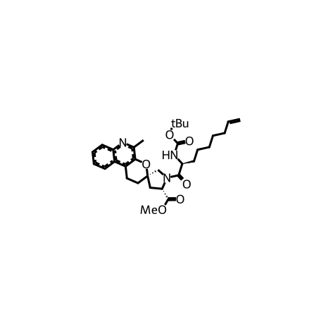 C=CCCCCC[C@H](NC(=O)OC(C)(C)C)C(=O)N1C[C@@]2(CCc3c(c(C)nc4ccccc34)O2)C[C@H]1C(=O)OC